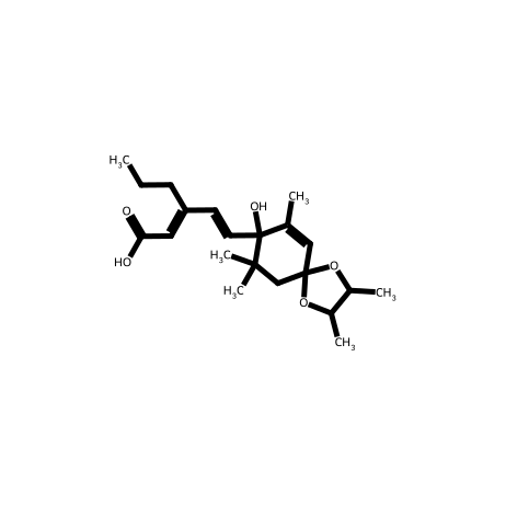 CCCC(C=CC1(O)C(C)=CC2(CC1(C)C)OC(C)C(C)O2)=CC(=O)O